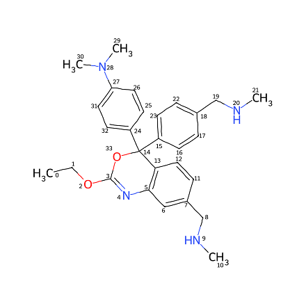 CCOC1=Nc2cc(CNC)ccc2C(c2ccc(CNC)cc2)(c2ccc(N(C)C)cc2)O1